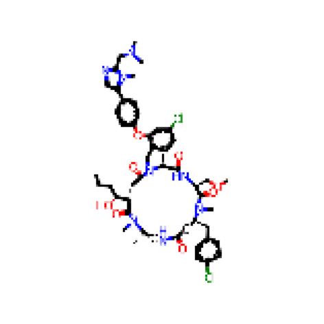 CCC[C@@H](O)[C@@H]1CC(=O)N(Cc2ccc(Cl)cc2Oc2ccc(-c3cnc(CN(C)C)n3C)cc2)[C@@H](C)C(=O)N[C@@H](COC)C(=O)N(C)[C@@H](Cc2ccc(Cl)cc2)CC(=O)NC[C@H](C)N(C)C1=O